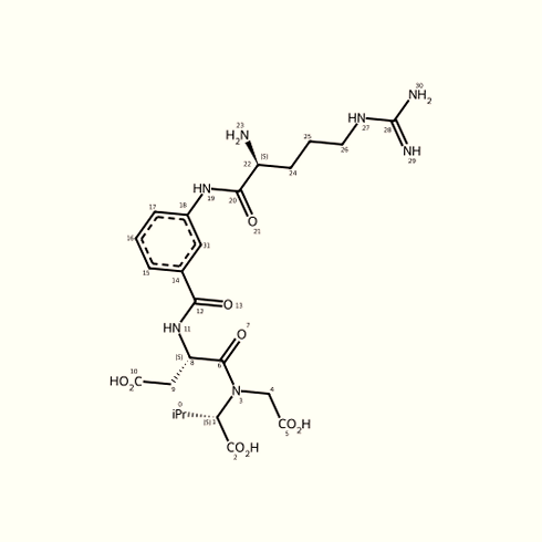 CC(C)[C@@H](C(=O)O)N(CC(=O)O)C(=O)[C@H](CC(=O)O)NC(=O)c1cccc(NC(=O)[C@@H](N)CCCNC(=N)N)c1